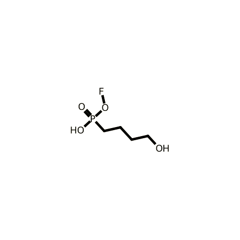 O=P(O)(CCCCO)OF